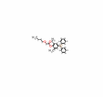 CCCCOCC(=O)Oc1c(C)cc([S+](c2ccccc2)c2ccccc2)cc1C